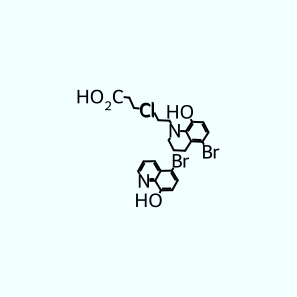 O=C(O)CCCl.Oc1ccc(Br)c2c1N(CCCl)CCC2.Oc1ccc(Br)c2cccnc12